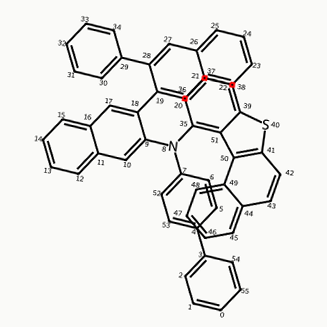 c1ccc(-c2ccc(N(c3cc4ccccc4cc3-c3cc4ccccc4cc3-c3ccccc3)c3cccc4sc5ccc6ccccc6c5c34)cc2)cc1